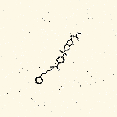 C=CC(=O)NC1CC2CN(S(=O)(=O)c3ccc(C(=O)NCCCCc4ccccc4)cc3)CC2O1